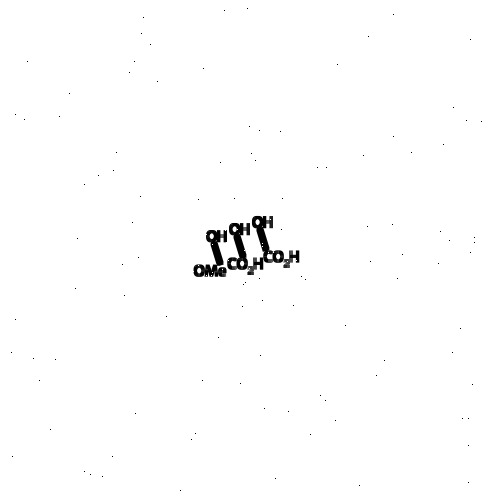 COO.O=C(O)O.O=C(O)O